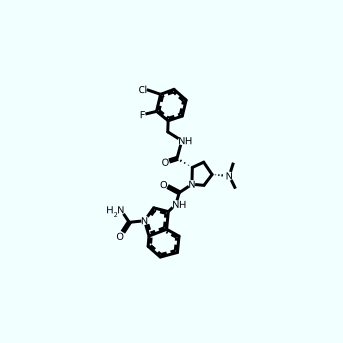 CN(C)[C@H]1C[C@@H](C(=O)NCc2cccc(Cl)c2F)N(C(=O)Nc2cn(C(N)=O)c3ccccc23)C1